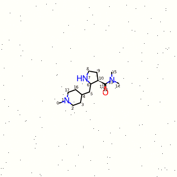 CN1CCC(CC2NCC[C@H]2C(=O)N(C)C)CC1